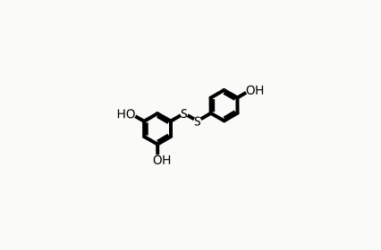 Oc1ccc(SSc2cc(O)cc(O)c2)cc1